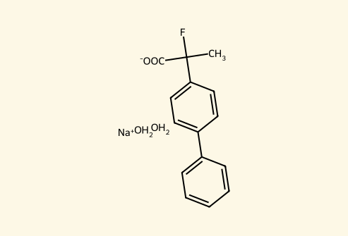 CC(F)(C(=O)[O-])c1ccc(-c2ccccc2)cc1.O.O.[Na+]